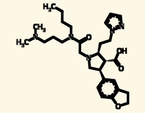 CCCCN(CCCN(C)C)C(=O)CN1C[C@H](c2ccc3c(c2)CCO3)[C@@H](C(=O)O)[C@@H]1CCn1cccn1